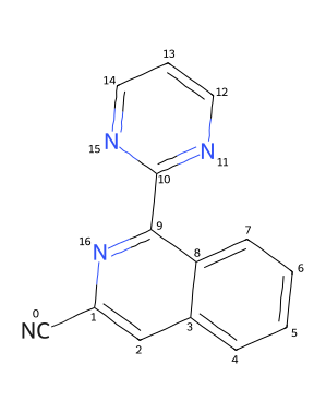 N#Cc1cc2ccccc2c(-c2ncccn2)n1